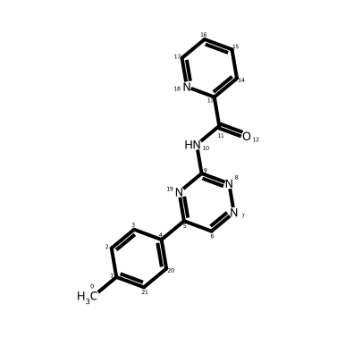 Cc1ccc(-c2cnnc(NC(=O)c3ccccn3)n2)cc1